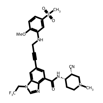 COc1ccc(S(C)(=O)=O)cc1NCC#Cc1cc(C(=O)N[C@H]2CCN(C)C[C@H]2C#N)c2ncn(CC(F)(F)F)c2c1